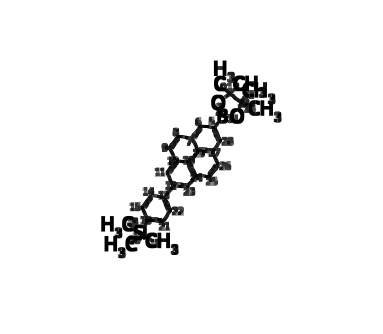 CC1(C)OB(c2cc3ccc4cc(-c5ccc([Si](C)(C)C)cc5)cc5ccc(c2)c3c45)OC1(C)C